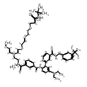 CCN(CC)c1ccc(NC(=O)c2cccc(C(=O)N(C)CCN(CCOC)CCOCCOCCOCCC(=O)NC(C)(C)C)c2)c(-c2cc(C(=O)NCc3cccc(C(F)(F)F)c3)ccn2)c1